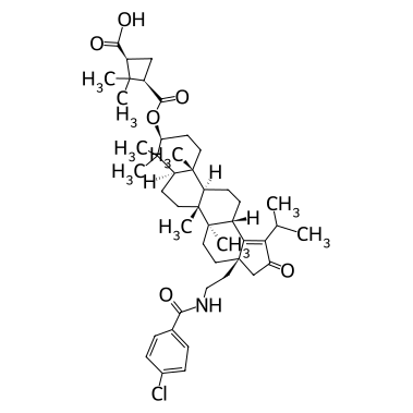 CC(C)C1=C2[C@H]3CC[C@@H]4[C@@]5(C)CC[C@H](OC(=O)[C@@H]6C[C@H](C(=O)O)C6(C)C)C(C)(C)[C@@H]5CC[C@@]4(C)[C@]3(C)CC[C@@]2(CCNC(=O)c2ccc(Cl)cc2)CC1=O